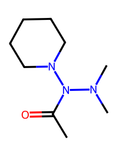 CC(=O)N(N(C)C)N1CCCCC1